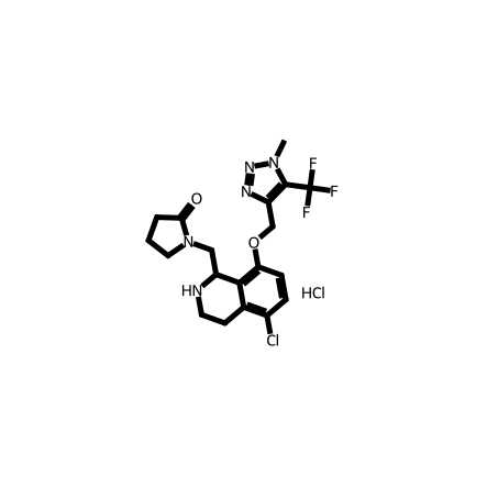 Cl.Cn1nnc(COc2ccc(Cl)c3c2C(CN2CCCC2=O)NCC3)c1C(F)(F)F